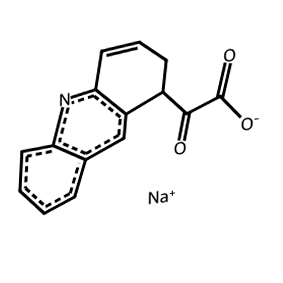 O=C([O-])C(=O)C1CC=Cc2nc3ccccc3cc21.[Na+]